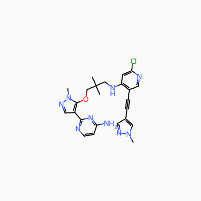 Cn1cc(C#Cc2cnc(Cl)cc2NCC(C)(C)COc2c(-c3nccc(N)n3)cnn2C)cn1